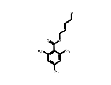 Cc1cc(C)c(C(=O)OCC=CCCl)c(C)c1